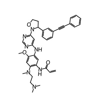 C=CC(=O)Nc1cc(Nc2cc(N3OCCC3c3cccc(C#Cc4ccccc4)c3)ncn2)c(OC)cc1N(C)CCN(C)C